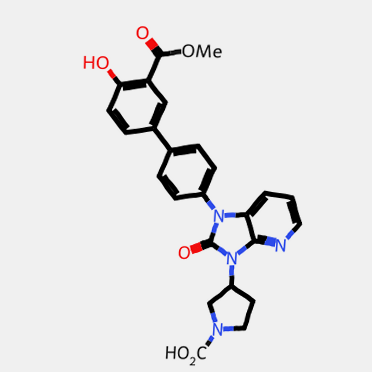 COC(=O)c1cc(-c2ccc(-n3c(=O)n(C4CCN(C(=O)O)C4)c4ncccc43)cc2)ccc1O